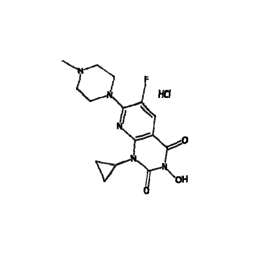 CN1CCN(c2nc3c(cc2F)c(=O)n(O)c(=O)n3C2CC2)CC1.Cl